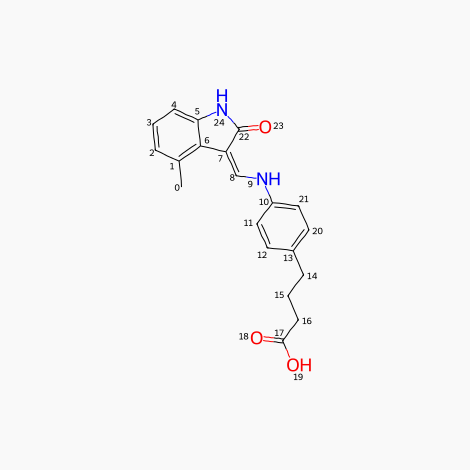 Cc1cccc2c1C(=CNc1ccc(CCCC(=O)O)cc1)C(=O)N2